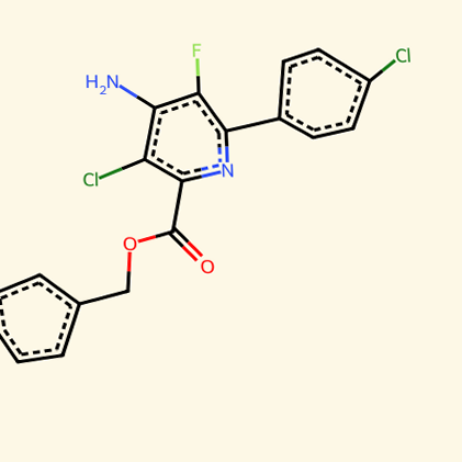 Nc1c(F)c(-c2ccc(Cl)cc2)nc(C(=O)OCc2ccccc2)c1Cl